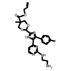 C=CCOC(=O)C1(C)COC(c2nc(-c3ccc(F)cc3)c(-c3ccnc(NCCN)n3)[nH]2)OC1